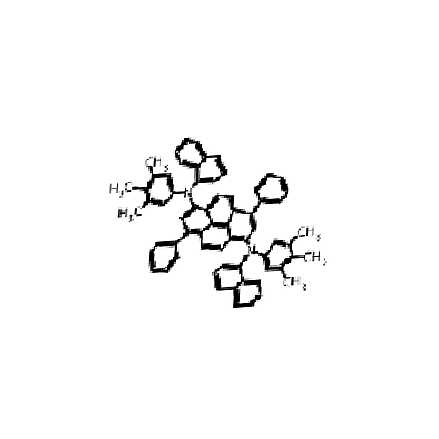 Cc1cc(N(c2cccc3ccccc23)c2cc(-c3ccccc3)c3ccc4c(N(c5cc(C)c(C)c(C)c5)c5cccc6ccccc56)cc(-c5ccccc5)c5ccc2c3c54)cc(C)c1C